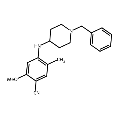 COc1cc(NC2CCN(Cc3ccccc3)CC2)c(C)cc1C#N